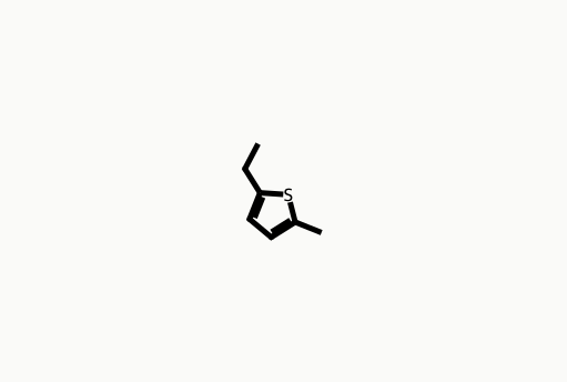 CCc1ccc(C)s1